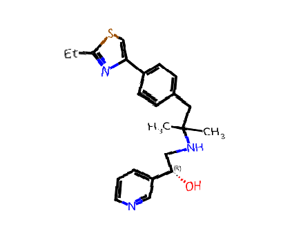 CCc1nc(-c2ccc(CC(C)(C)NC[C@H](O)c3cccnc3)cc2)cs1